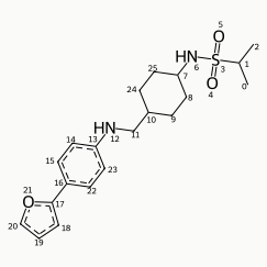 CC(C)S(=O)(=O)NC1CCC(CNc2ccc(-c3ccco3)cc2)CC1